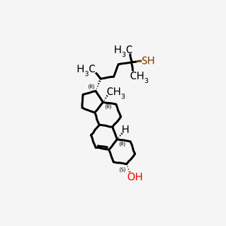 CC(CCC(C)(C)S)[C@H]1CCC2C3CC=C4C[C@@H](O)CC[C@@H]4C3CC[C@@]21C